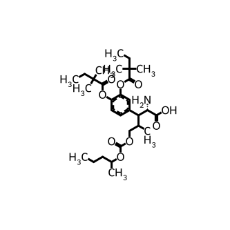 CCCC(C)OC(=O)OCC(C)C(c1ccc(OC(=O)C(C)(C)CC)c(OC(=O)C(C)(C)CC)c1)[C@H](N)C(=O)O